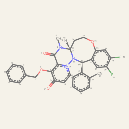 CN1C(=O)c2c(OCc3ccccc3)c(=O)ccn2N2[C@H](c3ccccc3C#N)c3cc(F)c(F)cc3OCC[C@@H]12